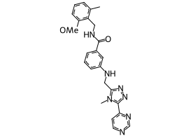 COc1cccc(C)c1CNC(=O)c1cccc(NCc2nnc(-c3ccncn3)n2C)c1